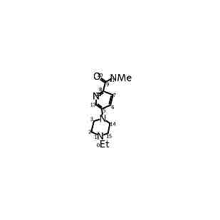 CCN1CCN(c2ccc(C(=O)NC)nc2)CC1